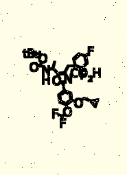 CC(NC(=O)OC(C)(C)C)c1oc(-c2ccc(OC(F)F)c(OCC3CC3)c2)nc1CC1(C(=O)O)C=CC(F)=CC1F